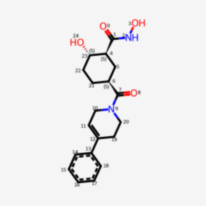 O=C(NO)[C@H]1C[C@@H](C(=O)N2CC=C(c3ccccc3)CC2)CC[C@@H]1O